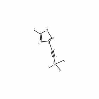 Cc1nc(C#C[Si](C)(C)C)co1